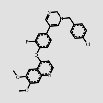 COc1cc2nccc(Oc3ccc(C4=CN(Cc5ccc(Cl)cc5)CN=C4)cc3F)c2cc1OC